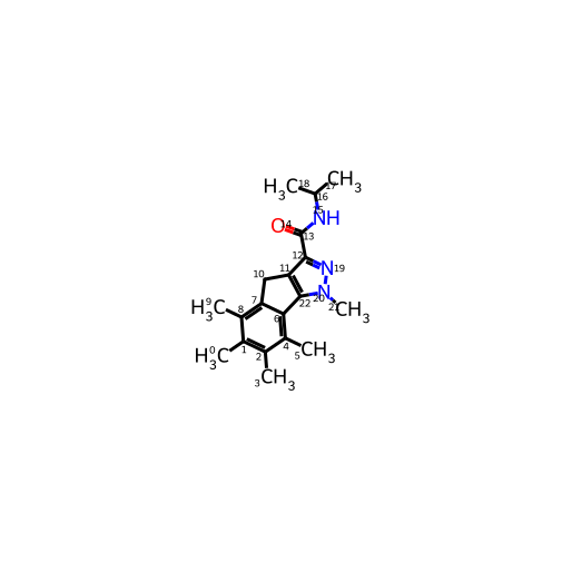 Cc1c(C)c(C)c2c(c1C)Cc1c(C(=O)NC(C)C)nn(C)c1-2